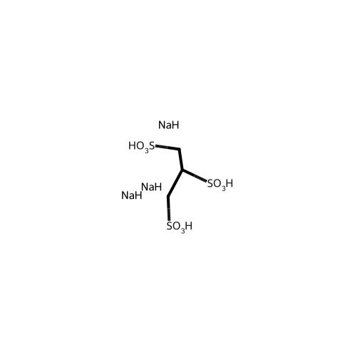 O=S(=O)(O)CC(CS(=O)(=O)O)S(=O)(=O)O.[NaH].[NaH].[NaH]